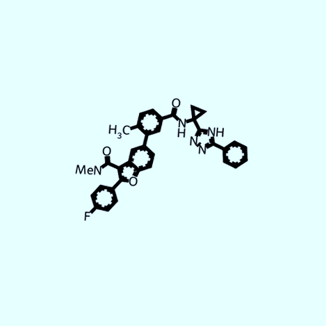 CNC(=O)c1c(-c2ccc(F)cc2)oc2ccc(-c3cc(C(=O)NC4(c5nnc(-c6ccccc6)[nH]5)CC4)ccc3C)cc12